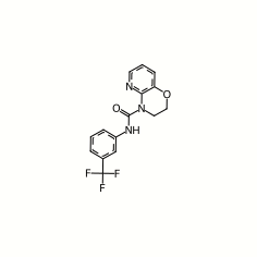 O=C(Nc1cccc(C(F)(F)F)c1)N1CCOc2cccnc21